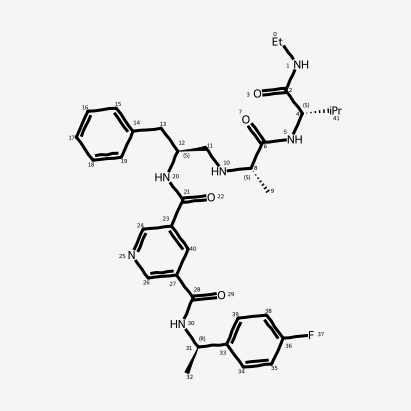 CCNC(=O)[C@@H](NC(=O)[C@H](C)NC[C@H](Cc1ccccc1)NC(=O)c1cncc(C(=O)N[C@H](C)c2ccc(F)cc2)c1)C(C)C